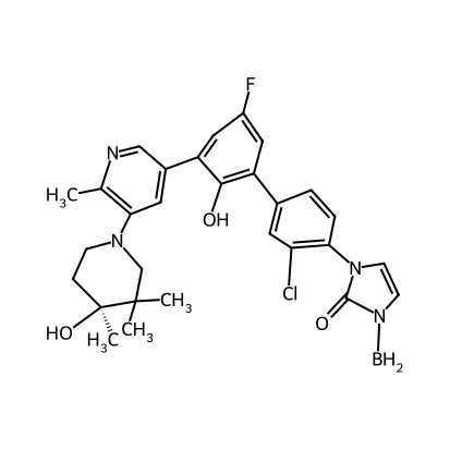 Bn1ccn(-c2ccc(-c3cc(F)cc(-c4cnc(C)c(N5CC[C@](C)(O)C(C)(C)C5)c4)c3O)cc2Cl)c1=O